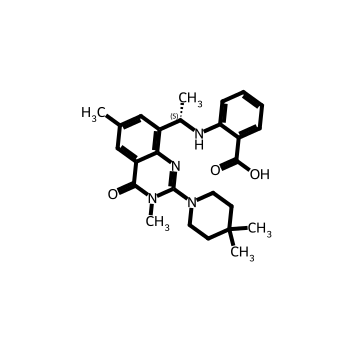 Cc1cc([C@H](C)Nc2ccccc2C(=O)O)c2nc(N3CCC(C)(C)CC3)n(C)c(=O)c2c1